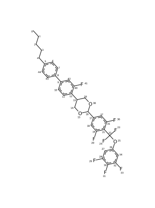 CCCCCc1ccc(-c2ccc(C3COC(c4cc(F)c(C(F)(F)Oc5cc(F)c(F)c(F)c5)c(F)c4)OC3)c(F)c2)cc1